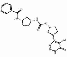 O=C(N[C@@H]1CC[C@H](NC(=O)c2ccccc2)C1)O[C@@H]1CCN(c2cn[nH]c(=O)c2Cl)C1